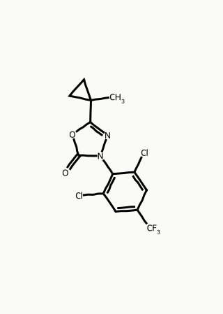 CC1(c2nn(-c3c(Cl)cc(C(F)(F)F)cc3Cl)c(=O)o2)CC1